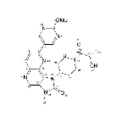 COc1ncc(-c2ccc3ncc4c(c3n2)n(C2CCN(C(=O)[C@H](C)O)CC2)c(=O)n4C)cn1